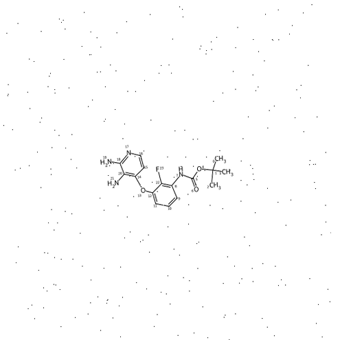 CC(C)(C)OC(=O)Nc1cccc(Oc2ccnc(N)c2N)c1F